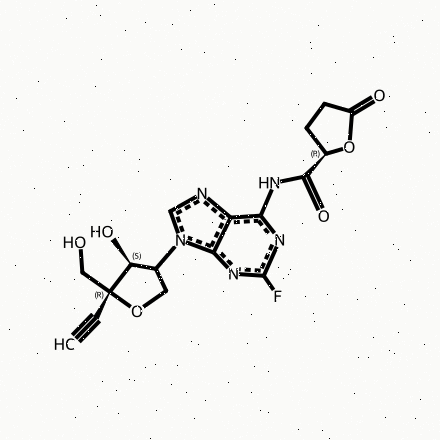 C#C[C@]1(CO)OCC(n2cnc3c(NC(=O)[C@H]4CCC(=O)O4)nc(F)nc32)[C@@H]1O